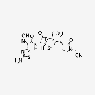 N#CCN1CC/C(=C\C2=C(C(=O)O)N3C(=O)[C@@H](NC(=O)/C(=N\O)c4csc(N)n4)[C@H]3SC2)C1=O